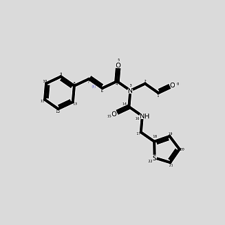 O=[C]CN(C(=O)/C=C/c1ccccc1)C(=O)NCc1cccs1